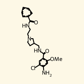 COc1cc(N)c(Cl)cc1C(=O)NCC1CCN(CCNC(=O)c2ccccc2)C1